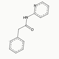 O=C(Cc1[c]cccc1)Nc1ccccn1